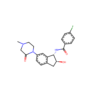 CN1CCN(c2ccc3c(c2)[C@H](NC(=O)c2ccc(F)cc2)[C@@H](O)C3)C(=O)C1